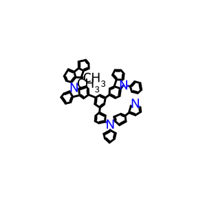 CC1(C)c2ccccc2-c2cccc(-n3c4ccccc4c4cc(-c5cc(-c6cccc(N(c7ccccc7)c7ccc(-c8cccnc8)cc7)c6)cc(-c6ccc7c(c6)c6ccccc6n7-c6ccccc6)c5)ccc43)c21